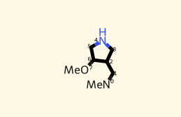 CNCC1CNCC1OC